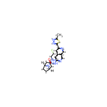 Cc1nnc(-c2cc3cc(NC(=O)N4[C@@H]5CC[C@H]4C[C@@H](NCCF)C5)ncc3cn2)s1